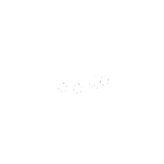 CC(C)(C)c1ccccc1N1COC(c2ccc(-c3ccccc3)cc2)=N1